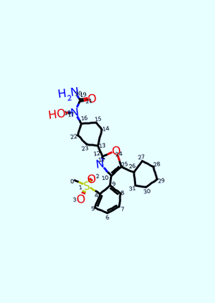 CS(=O)(=O)c1ccccc1-c1nc(C2CCC(N(O)C(N)=O)CC2)oc1C1CCCCC1